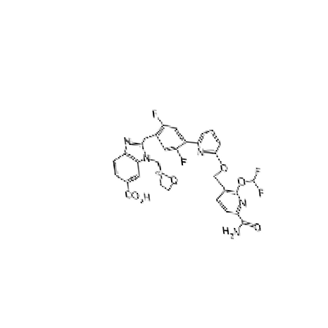 NC(=O)c1ccc(COc2cccc(-c3cc(F)c(Cc4nc5ccc(C(=O)O)cc5n4C[C@@H]4CCO4)cc3F)n2)c(OC(F)F)n1